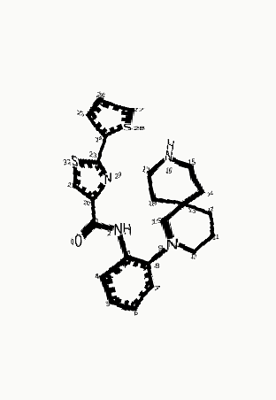 O=C(Nc1ccccc1N1CCCC2(CCNCC2)C1)c1csc(-c2cccs2)n1